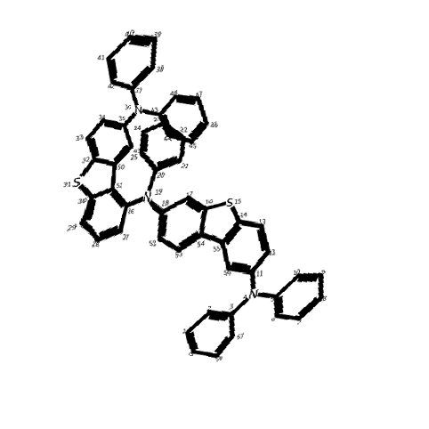 c1ccc(N(c2ccccc2)c2ccc3sc4cc(N(c5ccccc5)c5cccc6sc7ccc(N(c8ccccc8)c8ccccc8)cc7c56)ccc4c3c2)cc1